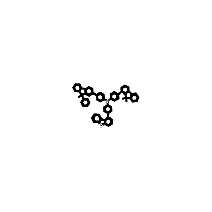 CC1(C)c2ccccc2-c2cccc(-c3ccc(N(c4ccc(-c5ccc6c(c5)C(C)(c5ccccc5)c5ccccc5-6)cc4)c4ccc(-c5cccc6sc7ccccc7c56)cc4)cc3)c21